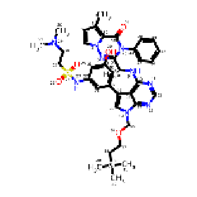 Cc1ccn2nc([C@H](C)Nc3ncnc4c3c(-c3cc(O)cc(NS(=O)(=O)CCN(C)C)c3)cn4COCC[Si](C)(C)C)n(-c3ccccc3)c(=O)c12